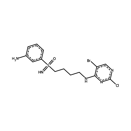 N=S(=O)(CCCCNc1nc(Cl)ncc1Br)c1cccc(N)c1